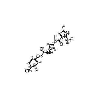 Cc1cc(C(=O)NC23CC(NC(=O)COc4ccc(Cl)c(F)c4)(C2)C3)n(C(F)F)n1